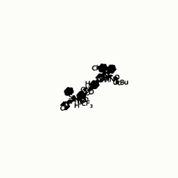 CC(C)(C)OC(=O)NCC(=O)N(CC1CCN(c2ccc(C(=O)NS(=O)(=O)c3ccc(N[C@H](CCN4CCOCC4)CSc4ccccc4)c(S(=O)(=O)C(F)(F)F)c3)cc2)CC1)c1ccccc1-c1ccc(Cl)cc1